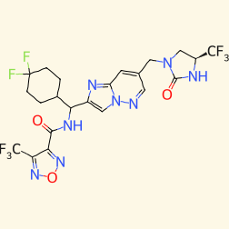 O=C(NC(c1cn2ncc(CN3C[C@@H](C(F)(F)F)NC3=O)cc2n1)C1CCC(F)(F)CC1)c1nonc1C(F)(F)F